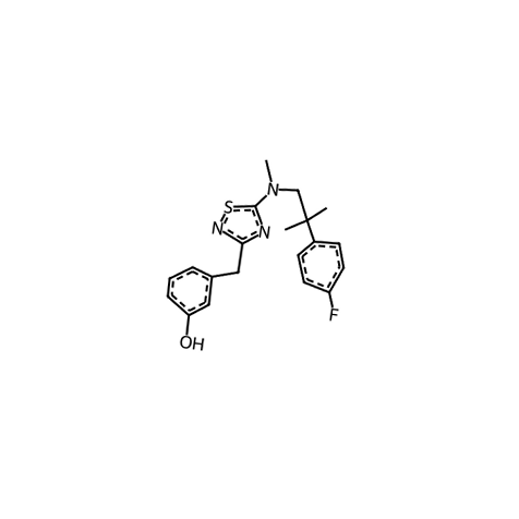 CN(CC(C)(C)c1ccc(F)cc1)c1nc(Cc2cccc(O)c2)ns1